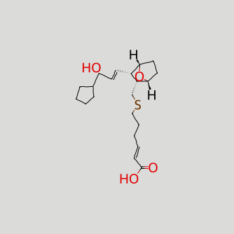 O=C(O)C=CCCCSC[C@@H]1[C@H](/C=C/C(O)C2CCCC2)[C@@H]2CC[C@H]1O2